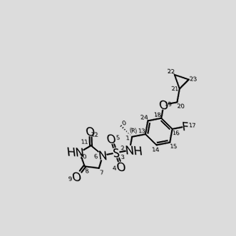 C[C@@H](NS(=O)(=O)N1CC(=O)NC1=O)c1ccc(F)c(OCC2CC2)c1